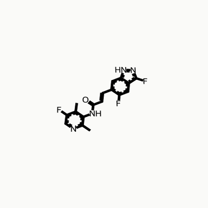 Cc1ncc(F)c(C)c1NC(=O)/C=C/c1cc2[nH]nc(F)c2cc1F